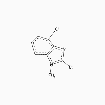 CCc1nc2c(Cl)cccc2n1C